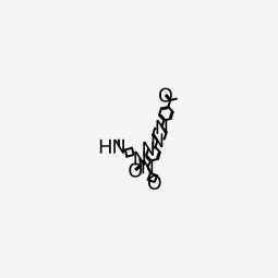 CNC1CC(n2c(=O)n(C3COC3)c3ccc(N4CCN(c5ccc(C(C)=O)cc5)CC4)nc32)C1